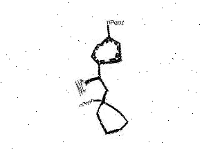 CCCCCc1ccc(C(C#N)CC2(CCCCC)CCCCC2)cc1